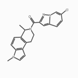 CC1c2ccc3c(ccn3C)c2CCN1C(=O)c1cc2ccc(Cl)cn2n1